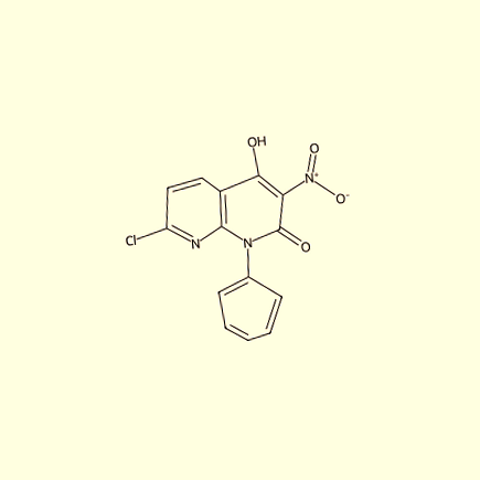 O=c1c([N+](=O)[O-])c(O)c2ccc(Cl)nc2n1-c1ccccc1